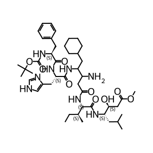 CC[C@H](C)[C@H](NC(=O)CC(N)C(CC1CCCCC1)NC(=O)[C@H](Cc1c[nH]cn1)NC(=O)[C@H](Cc1ccccc1)NC(=O)OC(C)(C)C)C(=O)N[C@@H](CC(C)C)[C@@H](O)CC(=O)OC